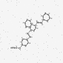 CCCCCCOc1ccc(N=Nc2ccc(N=Nc3ccccc3)c3ccccc23)cc1